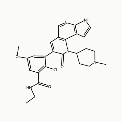 CCNC(=O)c1cc(OC)cc(-c2cc3cnc4[nH]ccc4c3n(C3CCN(C)CC3)c2=O)c1Cl